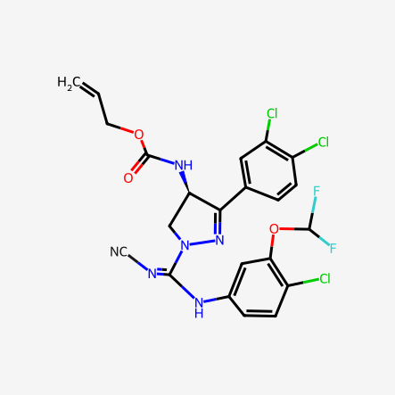 C=CCOC(=O)N[C@@H]1CN(/C(=N\C#N)Nc2ccc(Cl)c(OC(F)F)c2)N=C1c1ccc(Cl)c(Cl)c1